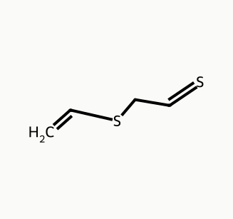 C=CSCC=S